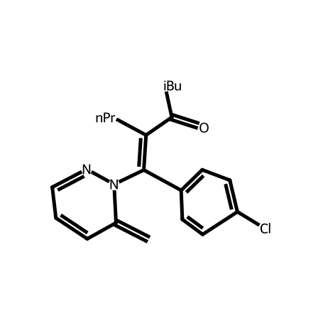 C=C1C=CC=NN1/C(=C(\CCC)C(=O)C(C)CC)c1ccc(Cl)cc1